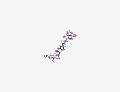 Cc1nc(C(=O)N2CCOC3(CCN(Cc4cccc(CCNCC(O)c5ccc(O)c6c5OCCN6)c4)CC3)C2)cs1